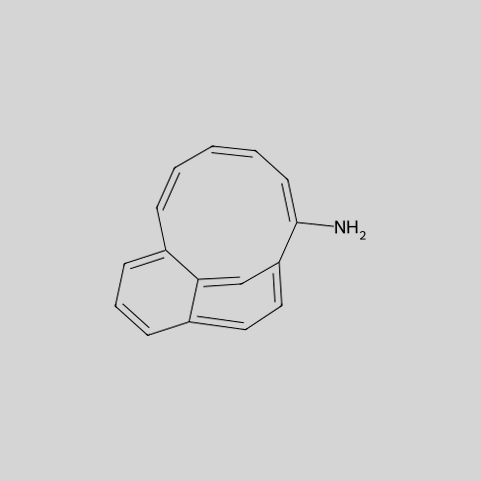 Nc1cccccc2cccc3ccc1cc23